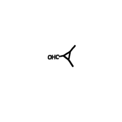 CC1C(C)C1C=O